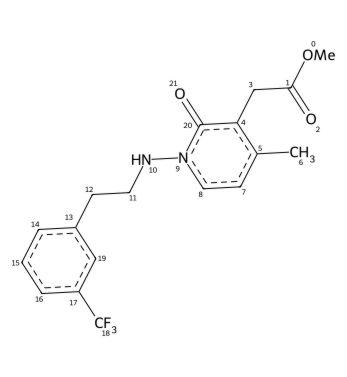 COC(=O)Cc1c(C)ccn(NCCc2cccc(C(F)(F)F)c2)c1=O